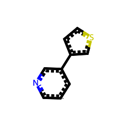 [c]1cncc(-c2ccsc2)c1